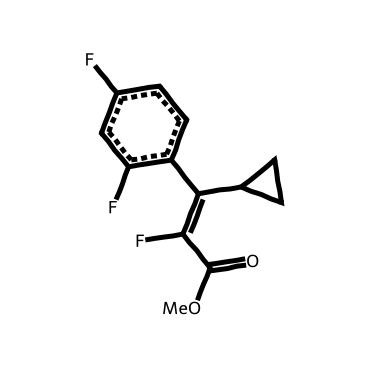 COC(=O)C(F)=C(c1ccc(F)cc1F)C1CC1